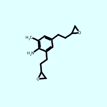 Cc1cc(CCC2CO2)cc(CCC2CO2)c1N